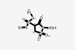 CCCCCCCCN1C(=O)C(P(=S)(SCC)SCC)CS1(=O)=O